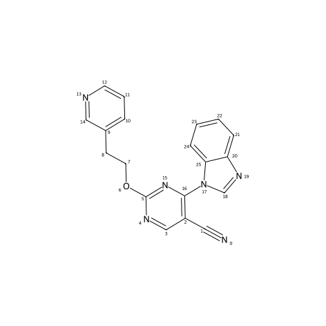 N#Cc1cnc(OCCc2cccnc2)nc1-n1cnc2ccccc21